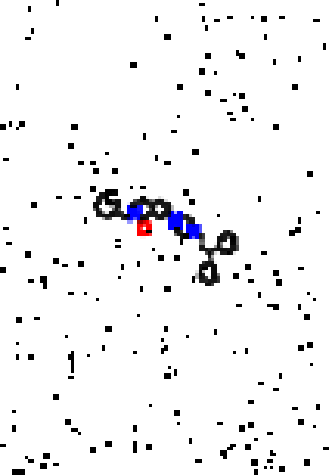 O=C1c2cc(N3CCN(CCC(c4ccccc4)c4ccccc4)CC3)ccc2CCN1CC1CCCCCC1